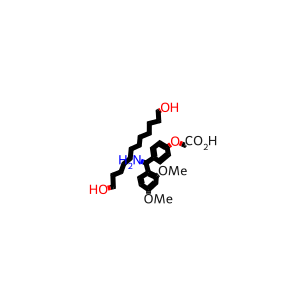 COc1ccc(C(N)c2ccc(OCC(=O)O)cc2)c(OC)c1.OCCCCCCCCCCCCO